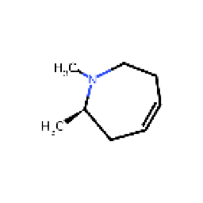 C[C@@H]1CC=CCCN1C